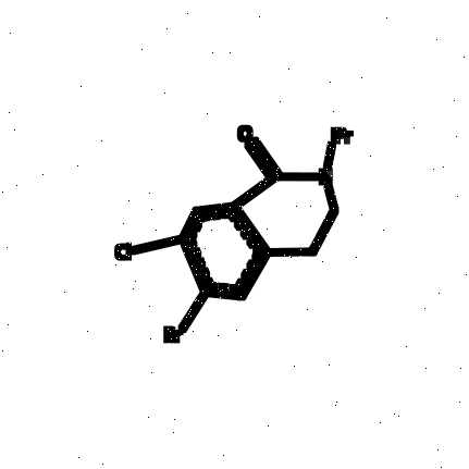 CC(C)N1CCc2cc(Br)c(Cl)cc2C1=O